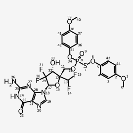 COc1ccc(OSP(=O)(OC[C@@]2(C(F)F)O[C@@H](n3cnc4c(=O)[nH]c(N)nc43)C(F)(F)[C@@H]2O)Oc2ccc(OC)cc2)cc1